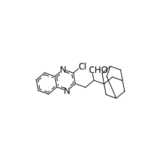 O=CC(Cc1nc2ccccc2nc1Cl)C12CC3CC(CC(C3)C1)C2